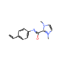 C=Cc1ccc(/N=C(\[O-])c2n(C)cc[n+]2C)cc1